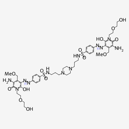 COCc1c(/N=N/c2ccc(S(=O)(=O)NCCCN3CCN(CCCNS(=O)(=O)c4ccc(/N=N/c5c(COC)c(N)c(=O)n(CCOCCO)c5O)cc4)CC3)cc2)c(O)n(CCOCCO)c(=O)c1N